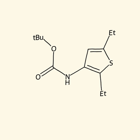 CCc1cc(NC(=O)OC(C)(C)C)c(CC)s1